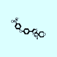 CN(C)C1(c2nc(-c3ccc(Oc4ccc([N+](=O)[O-])cc4)cc3)cs2)CCOCC1